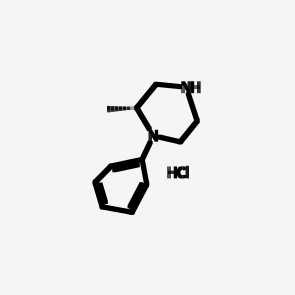 C[C@@H]1CNCCN1c1ccccc1.Cl